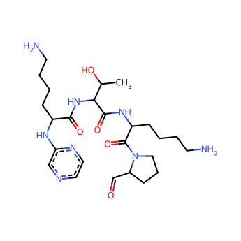 CC(O)C(NC(=O)C(CCCCN)Nc1cnccn1)C(=O)NC(CCCCN)C(=O)N1CCCC1C=O